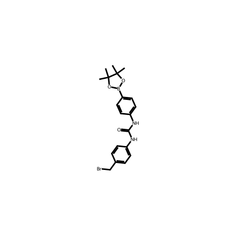 CC1(C)OB(c2ccc(NC(=O)Nc3ccc(CBr)cc3)cc2)OC1(C)C